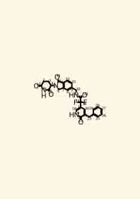 O=C1CCC(N2Cc3cc(CNC(=O)C(F)(F)c4c[nH]c(=O)c(Cc5ccccc5)c4)ccc3C2=O)C(=O)N1